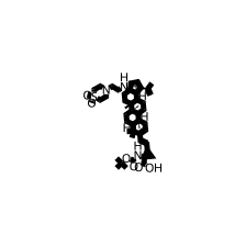 C=C(C)[C@@H]1CC[C@]2(NCCN3CCS(=O)(=O)CC3)CC[C@]3(C)[C@H](CC[C@@H]4[C@@]5(C)CC=C(/C=C/C6CC6(NC(=O)OC(C)(C)C)C(=O)O)C(C)(C)[C@@H]5CC[C@]43C)[C@@H]12